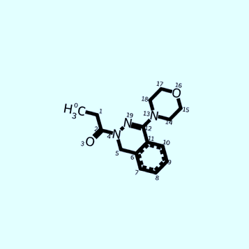 CCC(=O)N1Cc2ccccc2C(N2CCOCC2)=N1